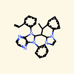 C=Cc1ccccc1N1c2nccnc2N(c2ccccc2)C1C1C(C)c2ccccc2N2C=CN(C)C12